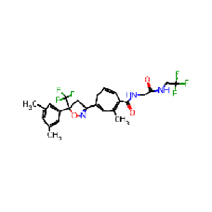 CC1=C(C(=O)NCC(=O)NCC(F)(F)F)C=CCC(C2=NO[C@@](c3cc(C)cc(C)c3)(C(F)(F)F)C2)=C1